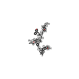 C=CCOC(=O)[C@H]1O[C@@H](Oc2ccc(COC(=O)N[C@H]3CCc4c(C)c(F)cc5nc6c(c3c45)Cn3c-6cc4c(c3=O)COC(=O)[C@]4(O)CC)cc2CNC(=O)CCNC(=O)[C@H](CCCC(=O)N[C@H]2CO[C@H]3[C@@H]2OC[C@@H]3NC(=O)OC(C)(C)C)NC(=O)OCC2c3ccccc3-c3ccccc32)[C@H](OC(C)=O)[C@@H](OC(C)=O)[C@@H]1OC(C)=O